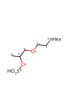 CCCCCCCCOCC(C)OS(=O)(=O)O